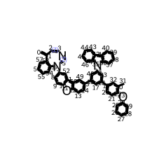 C=C1/C=C\N=C/N(c2ccc3oc4ccc(-c5cc(-c6ccc(Oc7ccccc7)c(C)c6)cc(-n6c7ccccc7c7ccccc76)c5)cc4c3c2)c2ccccc21